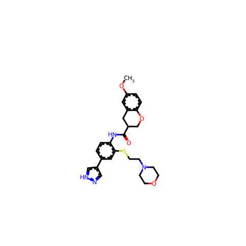 COc1ccc2c(c1)CC(C(=O)Nc1ccc(-c3cn[nH]c3)cc1SCCN1CCOCC1)CO2